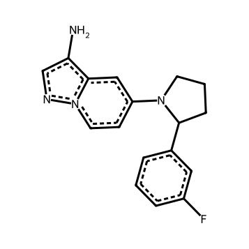 Nc1cnn2ccc(N3CCCC3c3cccc(F)c3)cc12